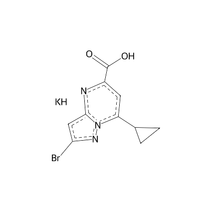 O=C(O)c1cc(C2CC2)n2nc(Br)cc2n1.[KH]